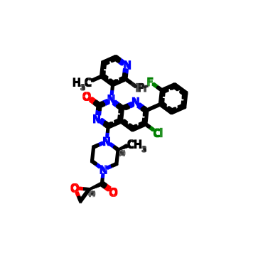 Cc1ccnc(C(C)C)c1-n1c(=O)nc(N2CCN(C(=O)[C@H]3CO3)C[C@@H]2C)c2cc(Cl)c(-c3ccccc3F)nc21